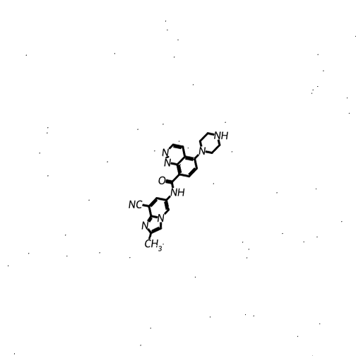 Cc1cn2cc(NC(=O)c3ccc(N4CCNCC4)c4ccnnc34)cc(C#N)c2n1